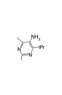 Cc1nc(C)c(N)c(C(C)C)n1